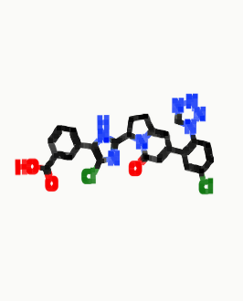 O=C(O)c1cccc(-c2[nH]c(C3CCc4cc(-c5cc(Cl)ccc5-n5cnnn5)cc(=O)n43)nc2Cl)c1